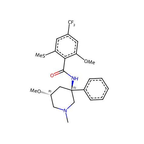 COc1cc(C(F)(F)F)cc(SC)c1C(=O)N[C@]1(c2ccccc2)C[C@@H](OC)CN(C)C1